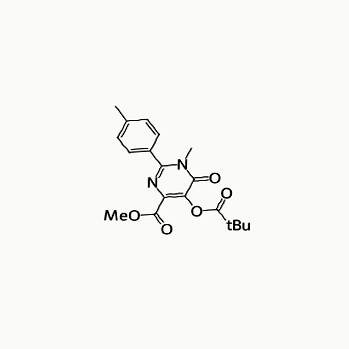 COC(=O)c1nc(-c2ccc(C)cc2)n(C)c(=O)c1OC(=O)C(C)(C)C